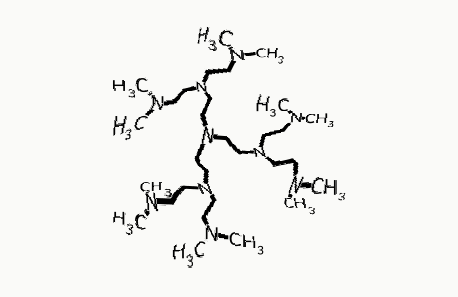 CN(C)CCN(CCN(C)C)CCN(CCN(CCN(C)C)CCN(C)C)CCN(CCN(C)C)CCN(C)C